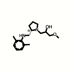 COCC(O)CN1CCC[C@H]1CNc1c(C)cccc1C